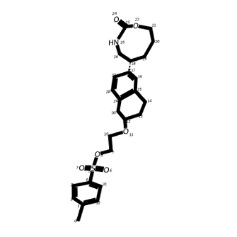 Cc1ccc(S(=O)(=O)OCCOC2CCc3cc([C@H]4CCCOC(=O)NC4)ccc3C2)cc1